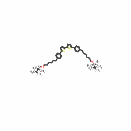 CC(C)C(C)(C)[SiH2]OCCCCCCc1ccc(-c2ccc(-c3ccc(-c4ccc(CCCCCCO[Si](C)(C)C(C)(C)C)cc4)s3)s2)cc1